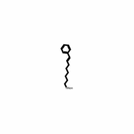 CCCCCCCCCCCCCCCC=Cc1ccccc1